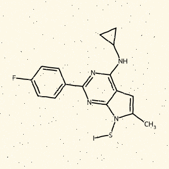 Cc1cc2c(NC3CC3)nc(-c3ccc(F)cc3)nc2n1SI